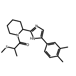 CSC(C)C(=O)N1CCCCC1c1ncc(-c2ccc(C)c(C)c2)[nH]1